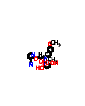 COc1ccc(CC(C)(C)NCC(O)COc2ncccc2C#N)cc1.O=C(O)/C=C\C(=O)O